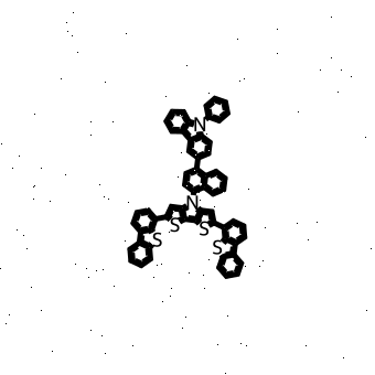 c1ccc(-n2c3ccccc3c3cc(-c4ccc(-n5c6cc(-c7cccc8c7sc7ccccc78)sc6c6sc(-c7cccc8c7sc7ccccc78)cc65)c5ccccc45)ccc32)cc1